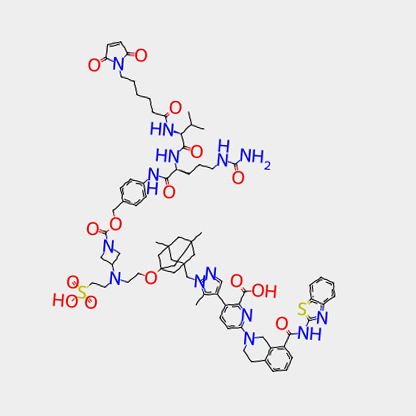 Cc1c(-c2ccc(N3CCc4cccc(C(=O)Nc5nc6ccccc6s5)c4C3)nc2C(=O)O)cnn1CC12CC3(C)CC(C)(C1)CC(OCCN(CCS(=O)(=O)O)C1CN(C(=O)OCc4ccc(NC(=O)[C@H](CCCNC(N)=O)NC(=O)[C@@H](NC(=O)CCCCCN5C(=O)C=CC5=O)C(C)C)cc4)C1)(C3)C2